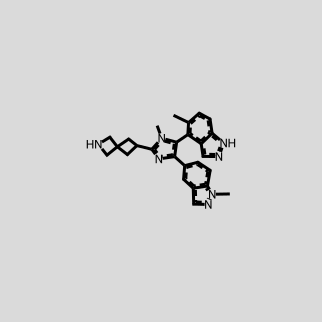 Cc1ccc2[nH]ncc2c1-c1c(-c2ccc3c(cnn3C)c2)nc(C2CC3(CNC3)C2)n1C